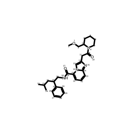 COCC1CCCCN1C(=O)Cc1cn2c(C(=O)NCC(CC(C)C)c3ccccc3)cccc2n1